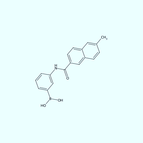 Cc1ccc2cc(C(=O)Nc3cccc(B(O)O)c3)ccc2c1